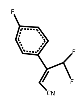 N#[13C]C=C(c1ccc(F)cc1)C(F)F